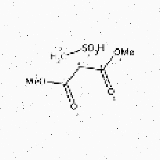 COC(=O)CC(=O)OC.CS(=O)(=O)O